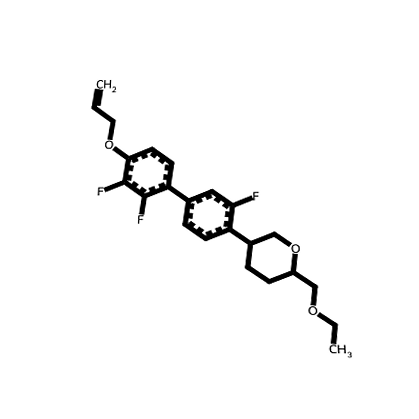 C=CCOc1ccc(-c2ccc(C3CCC(COCC)OC3)c(F)c2)c(F)c1F